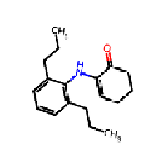 CCCc1cccc(CCC)c1NC1=CCCCC1=O